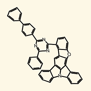 c1ccc(-c2ccc(-c3nc(-c4ccccc4)nc(-c4cccc5oc6c(cc7c8ccccc8n8c9ccccc9c6c78)c45)n3)cc2)cc1